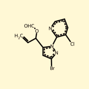 C=CC(OC=O)c1cc(Br)nn1-c1ncccc1Cl